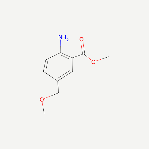 COCc1ccc(N)c(C(=O)OC)c1